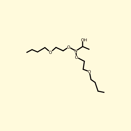 CCCCOCCON(OCCOCCCC)C(C)O